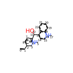 C=CC1C[N+]2(C)CCC1CC2C(O)c1cc[n+](C)c2ccccc12